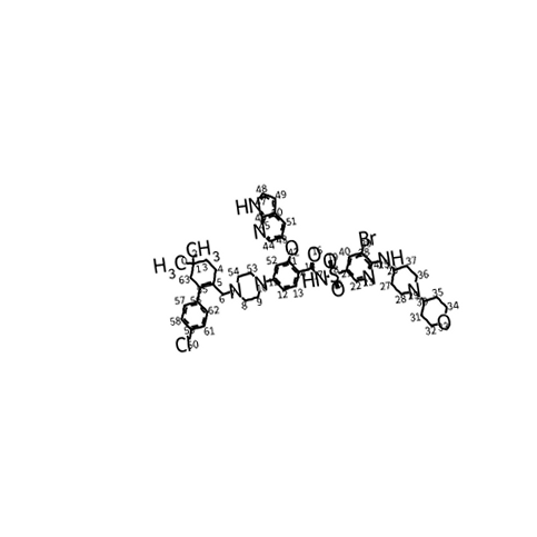 CC1(C)CCC(CN2CCN(c3ccc(C(=O)NS(=O)(=O)c4cnc(NC5CCN(C6CCOCC6)CC5)c(Br)c4)c(Oc4cnc5[nH]ccc5c4)c3)CC2)=C(c2ccc(Cl)cc2)C1